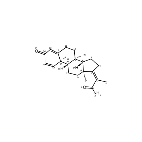 CC(C(N)=O)=C1CC[C@H]2[C@@H]3CCC4=CC(=O)C=C[C@]4(C)[C@H]3CC[C@]12C